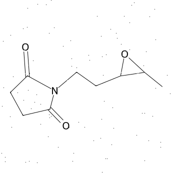 CC1OC1CCN1C(=O)CCC1=O